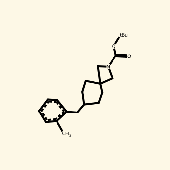 Cc1ccccc1CC1CCC2(CC1)CN(C(=O)OC(C)(C)C)C2